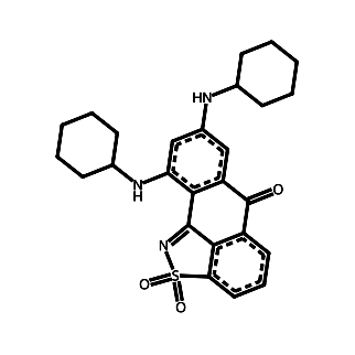 O=C1c2cc(NC3CCCCC3)cc(NC3CCCCC3)c2C2=NS(=O)(=O)c3cccc1c32